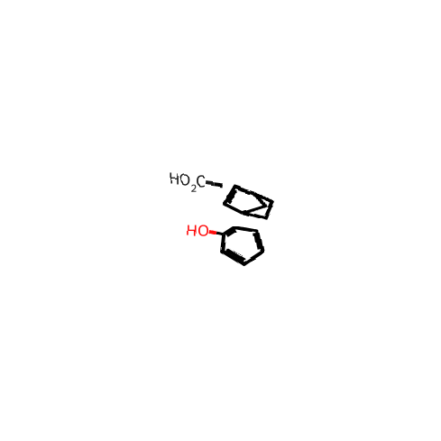 C1=CC2CCC1C2.CC(=O)O.Oc1ccccc1